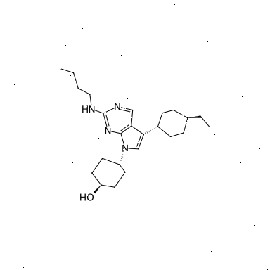 CCCCNc1ncc2c(n1)n([C@H]1CC[C@H](O)CC1)cc2[C@H]1CC[C@H](CC)CC1